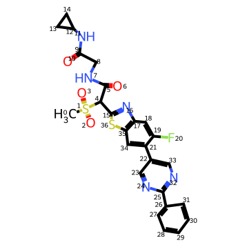 CS(=O)(=O)C(C(=O)NCC(=O)NC1CC1)c1nc2cc(F)c(-c3cnc(-c4ccccc4)nc3)cc2s1